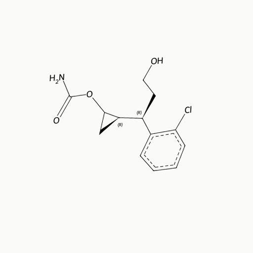 NC(=O)OC1C[C@@H]1[C@@H](CCO)c1ccccc1Cl